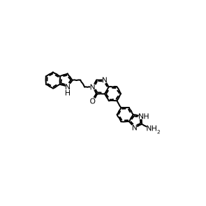 Nc1nc2ccc(-c3ccc4ncn(CCc5cc6ccccc6[nH]5)c(=O)c4c3)cc2[nH]1